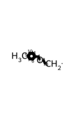 [CH2]CCOCc1ccc(C)cc1